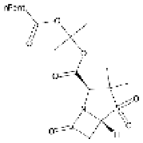 CCCCCC(=O)OC(C)(C)OC(=O)[C@@H]1N2C(=O)C[C@H]2S(=O)(=O)C1(C)C